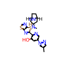 Cc1cnn(-c2cnc(C3=Nc4scnc4[SH]3N(C)[C@@H]3C[C@H]4CC[C@@H](C3)N4)c(O)c2)c1